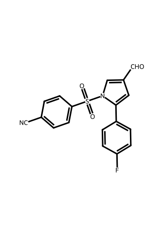 N#Cc1ccc(S(=O)(=O)n2cc(C=O)cc2-c2ccc(F)cc2)cc1